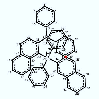 c1ccc(P(c2ccccc2)c2ccc3ccccc3c2[PH](c2ccccc2)(c2ccccc2)c2ccc3ccccc3c2)cc1